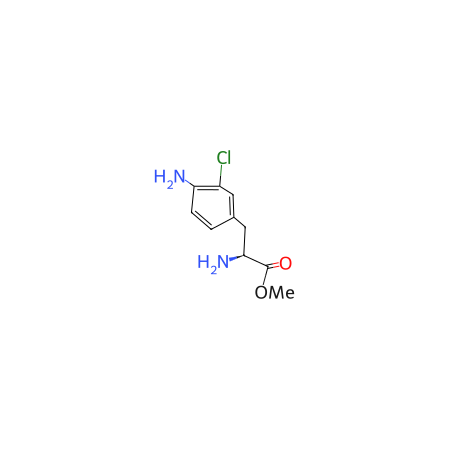 COC(=O)[C@@H](N)Cc1ccc(N)c(Cl)c1